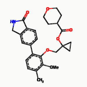 COc1c(C)ccc(-c2ccc3c(c2)CNC3=O)c1OCC1(OC(=O)C2CCOCC2)CC1